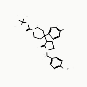 COc1ccc([C@@H](C)N2CCC(C3(c4ccc(F)cc4)CCN(C(=O)OC(C)(C)C)CC3)C2=O)cc1